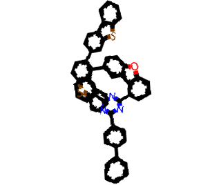 c1ccc(-c2ccc(-c3nc(-c4ccccc4)nc(-c4cccc5oc6ccc(-c7c(-c8ccc9c(c8)sc8ccccc89)ccc8sc9ccccc9c78)cc6c45)n3)cc2)cc1